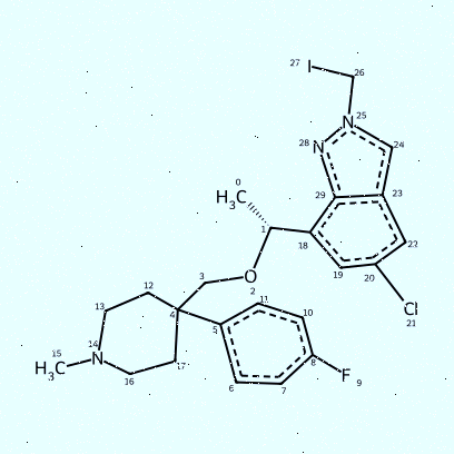 C[C@@H](OCC1(c2ccc(F)cc2)CCN(C)CC1)c1cc(Cl)cc2cn(CI)nc12